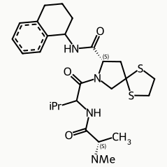 CN[C@@H](C)C(=O)NC(C(=O)N1CC2(C[C@H]1C(=O)NC1CCCc3ccccc31)SCCS2)C(C)C